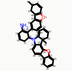 CC1C=Cc2oc3ccc(C4=C(N)C=CCC4N4C5=CC=CCC5(C)c5c4ccc4c5oc5ccccc54)cc3c2C1